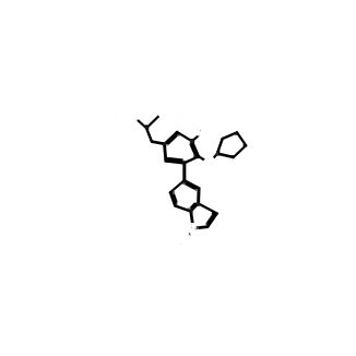 CC(Cc1cc(N)c(OC2CCCC2)c(-c2ccc3c(ccn3C)c2)c1)C(=O)O